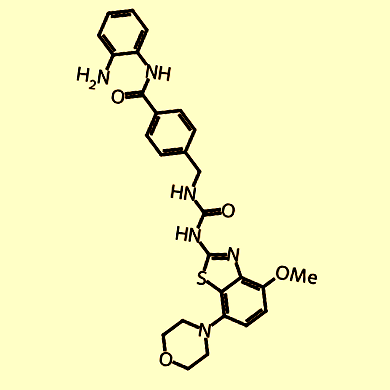 COc1ccc(N2CCOCC2)c2sc(NC(=O)NCc3ccc(C(=O)Nc4ccccc4N)cc3)nc12